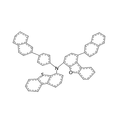 c1ccc2cc(-c3ccc(N(c4ccc(-c5ccc6ccccc6c5)c5c4oc4ccccc45)c4cccc5c4sc4ccccc45)cc3)ccc2c1